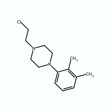 Cc1cccc(N2CCN(CCCl)CC2)c1C